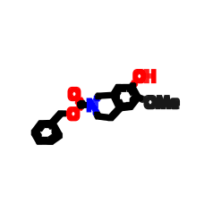 COc1cc2c(cc1O)CN(C(=O)OCc1ccccc1)CC2